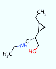 CCNC[C@@H](CO)[C@@H]1CC1CC